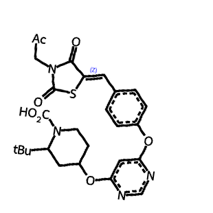 CC(=O)CN1C(=O)S/C(=C\c2ccc(Oc3cc(OC4CCN(C(=O)O)C(C(C)(C)C)C4)ncn3)cc2)C1=O